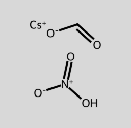 O=C[O-].O=[N+]([O-])O.[Cs+]